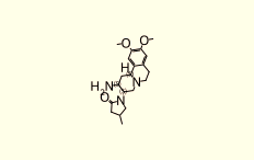 COc1cc2c(cc1OC)[C@@H]1C[C@H](N)[C@@H](N3CC(C)CC3=O)CN1CC2